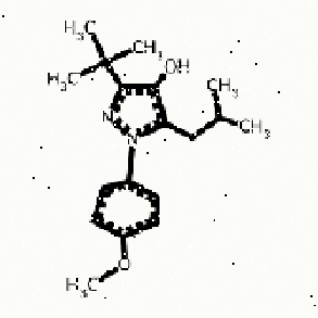 COc1ccc(-n2nc(C(C)(C)C)c(O)c2CC(C)C)cc1